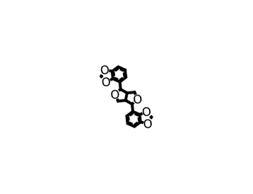 c1cc2c(c(C3OCC4C(c5cccc6c5OCO6)OCC34)c1)OCO2